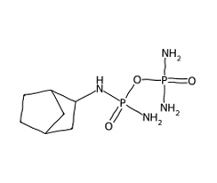 NP(N)(=O)OP(N)(=O)NC1CC2CCC1C2